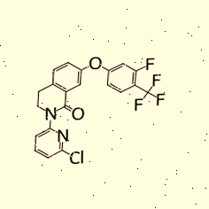 O=C1c2cc(Oc3ccc(C(F)(F)F)c(F)c3)ccc2CCN1c1cccc(Cl)n1